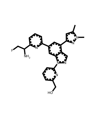 Cc1cc(-c2cc(-c3cccc(C(N)CF)n3)cc3c2cnn3-c2cccc(CO)n2)nn1C